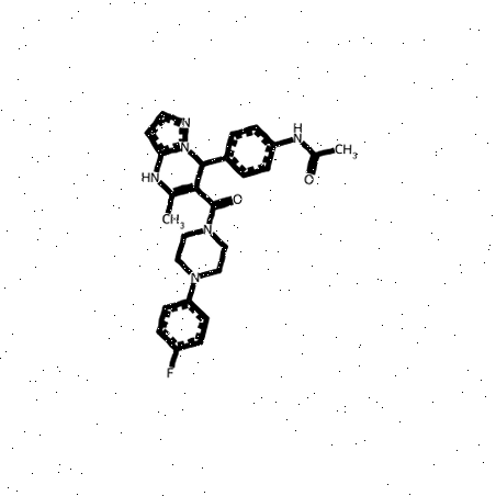 CC(=O)Nc1ccc(C2C(C(=O)N3CCN(c4ccc(F)cc4)CC3)=C(C)Nc3ccnn32)cc1